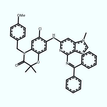 COc1ccc(CN2C(=O)C(C)(C)Oc3cc(Nc4cc5c(ncn5C)c(N=C(c5ccccc5)c5ccccc5)n4)c(Cl)cc32)cc1